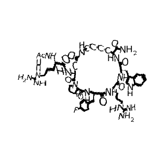 CC(=O)N[C@@H](CCCNC(=N)N)C(=O)N[C@H]1CC(=O)NCCCCC(C(N)=O)NC(=O)[C@H](Cc2c[nH]c3ccccc23)NC(=O)[C@H](CCCNC(=N)N)NC(=O)[C@@H](Cc2ccc(F)cc2)NC(=O)[C@@H]2CCCN2C1=O